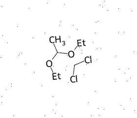 CCOC(C)OCC.ClCCl